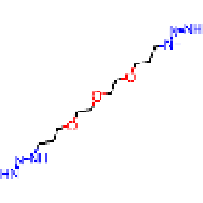 N=NNCCCOCCOCCOCCCNN=N